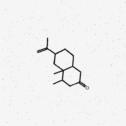 C=C(C)C1CCC2CC(=O)CC(C)C2(C)C1